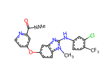 CNC(=O)c1cc(Oc2ccc3c(c2)nc(Nc2ccc(C(F)(F)F)c(Cl)c2)n3C)ccn1